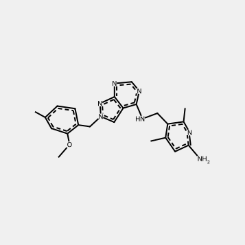 COc1cc(C)ccc1Cn1cc2c(NCc3c(C)cc(N)nc3C)ncnc2n1